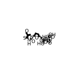 O=Cc1cn([C@H]2CC[C@@H](COP(=O)(O)OP(=O)(O)OP(=O)(O)O)O2)c(=O)[nH]c1=S